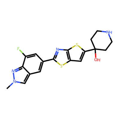 Cn1cc2cc(-c3nc4sc(C5(O)CCNCC5)cc4s3)cc(F)c2n1